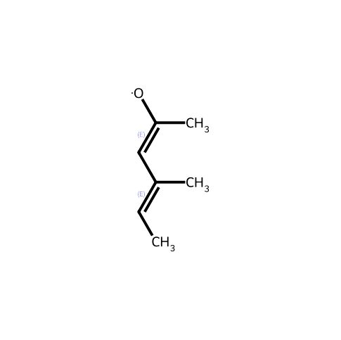 C/C=C(C)/C=C(\C)[O]